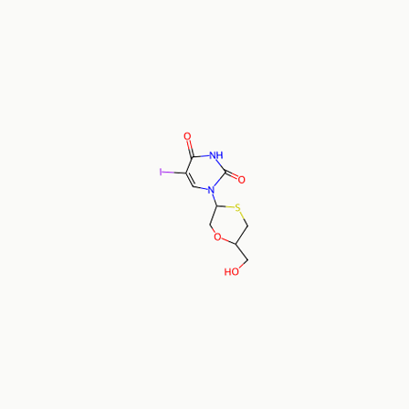 O=c1[nH]c(=O)n(C2COC(CO)CS2)cc1I